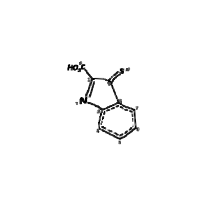 O=C(O)C1=Nc2ccccc2C1=S